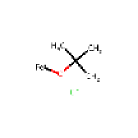 CC(C)(C)[O][Fe+].[Cl-]